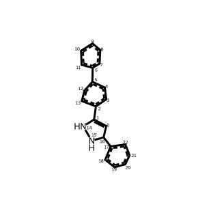 C1=C(c2ccc(-c3ccccc3)cc2)NNC1c1ccccc1